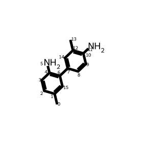 Cc1ccc(N)c(-c2ccc(N)c(C)c2)c1